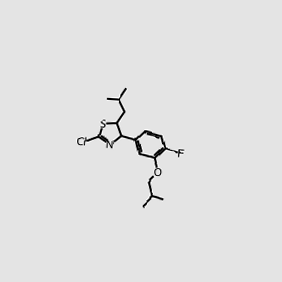 CC(C)COc1cc(C2N=C(Cl)SC2CC(C)C)ccc1F